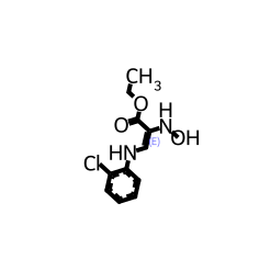 CCOC(=O)/C(=C\Nc1ccccc1Cl)NO